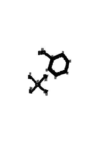 Oc1ccccc1.[Br][Ge]([Br])([Br])[Br]